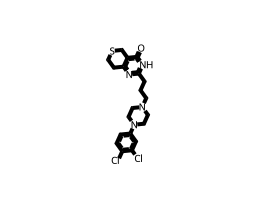 O=c1[nH]c(CCCN2CCN(c3ccc(Cl)c(Cl)c3)CC2)nc2c1CSCC2